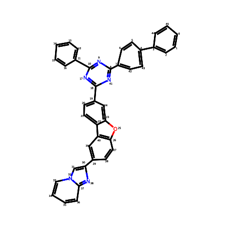 c1ccc(-c2ccc(-c3nc(-c4ccccc4)nc(-c4ccc5c(c4)oc4ccc(-c6cn7ccccc7n6)cc45)n3)cc2)cc1